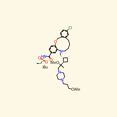 CC[C@H](C)[C@@H](C)S(=O)(=O)NC(=O)c1ccc2c(c1)N(C[C@@H]1CC[C@H]1C(C)(CN1CCN(CCCOC)CC1)OC)CCCCc1cc(Cl)ccc1CO2